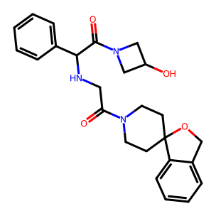 O=C(CNC(C(=O)N1CC(O)C1)c1ccccc1)N1CCC2(CC1)OCc1ccccc12